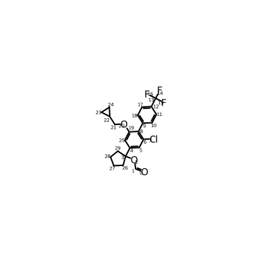 O=COC1(c2cc(Cl)c(-c3ccc(C(F)(F)F)cc3)c(OCC3CC3)c2)CCCC1